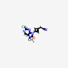 Cn1c(=O)n(C23CC(CC#N)(C2)C3)c2nc(Cl)ncc21